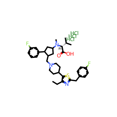 CCc1nc(Cc2ccc(F)cc2)sc1C1CCN(CC2CC(N(C)[C@@H](C(=O)O)C(C)C)CC2c2cccc(F)c2)CC1.Cl.Cl.Cl